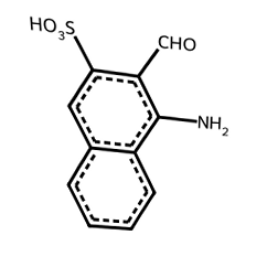 Nc1c(C=O)c(S(=O)(=O)O)cc2ccccc12